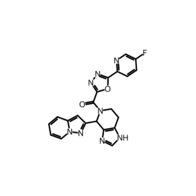 O=C(c1nnc(-c2ccc(F)cn2)o1)N1CCc2[nH]cnc2C1c1cc2ccccn2n1